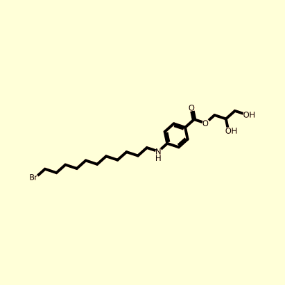 O=C(OCC(O)CO)c1ccc(NCCCCCCCCCCCBr)cc1